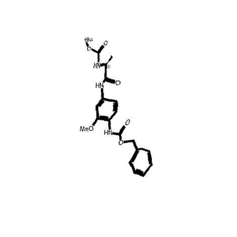 COc1cc(NC(=O)[C@H](C)NC(=O)OC(C)(C)C)ccc1NC(=O)OCc1ccccc1